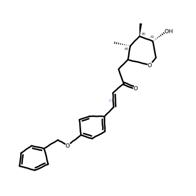 C[C@H]1[C@H](O)COC(CC(=O)/C=C/c2ccc(OCc3ccccc3)cc2)[C@@H]1C